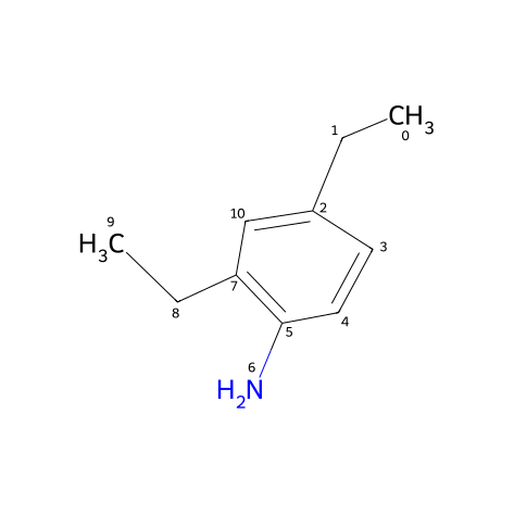 CCc1ccc(N)c(CC)c1